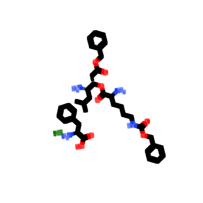 CC(C)C[C@H](N)[C@H](CC(=O)OCc1ccccc1)OC(=O)[C@@H](N)CCCCNC(=O)OCc1ccccc1.Cl.N[C@@H](Cc1ccccc1)C(=O)O